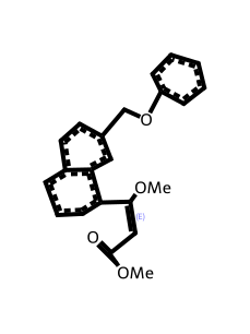 COC(=O)/C=C(/OC)c1cccc2ccc(COc3ccccc3)cc12